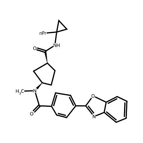 CCCC1(NC(=O)[C@H]2CC[C@@H](N(C)C(=O)c3ccc(-c4nc5ccccc5o4)cc3)C2)CC1